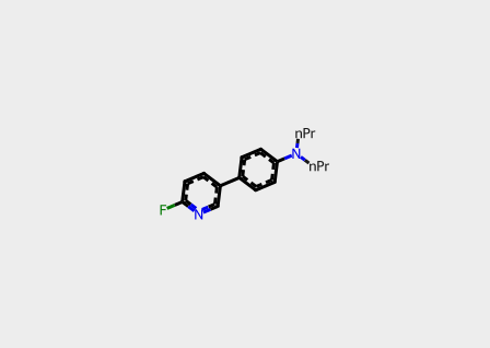 CCCN(CCC)c1ccc(-c2ccc(F)nc2)cc1